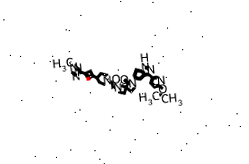 CC(C)Oc1ccc(-c2n[nH]c3ccc(N4CCC5(CCN(CC(=O)N6CCC(C78CC(c9ncn(C)n9)(C7)C8)CC6)C5)C4=O)cc23)cn1